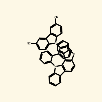 N#Cc1ccc2c(c1)c1cc(C#N)ccc1n2-c1ccccc1-c1ccccc1-n1c2ccccc2c2ccc3oc4ccccc4c3c21